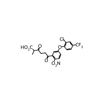 CC(C(=O)O)C(=O)CCC(=O)c1cc(Oc2ccc(C(F)(F)F)cc2Cl)ccc1[N+](=O)[O-]